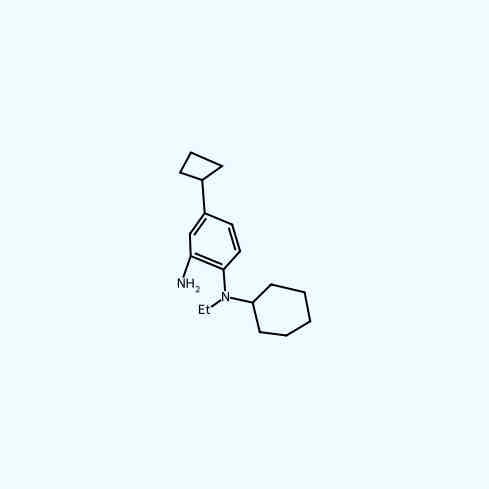 CCN(c1ccc(C2CCC2)cc1N)C1CCCCC1